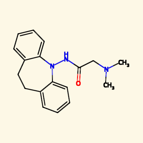 CN(C)CC(=O)NN1c2ccccc2CCc2ccccc21